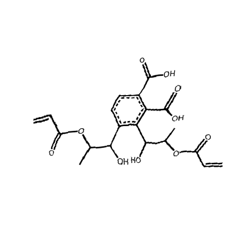 C=CC(=O)OC(C)C(O)c1ccc(C(=O)O)c(C(=O)O)c1C(O)C(C)OC(=O)C=C